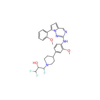 COc1cc(C2CCN(C(F)C(O)C(F)F)CC2)ccc1Nc1ncc2ccc(-c3ccccc3OC)n2n1